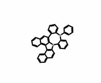 c1ccc(-n2c3ccccc3c3cc4ccccc4c4c5c6ccccc6ccc5n(c5ccccc52)c34)cc1